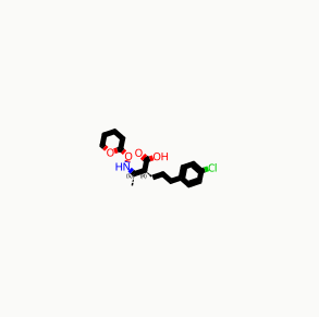 C[C@H](NOC1CCCCO1)[C@@H](CCCc1ccc(Cl)cc1)C(=O)O